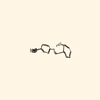 N#Cc1ccc(/N=C/c2ccccc2O)cc1